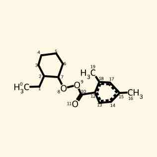 CCC1CCCC[C]1OOC(=O)c1ccc(C)cc1C